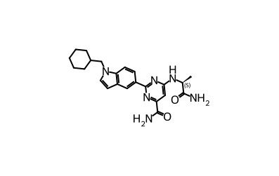 C[C@H](Nc1cc(C(N)=O)nc(-c2ccc3c(ccn3CC3CCCCC3)c2)n1)C(N)=O